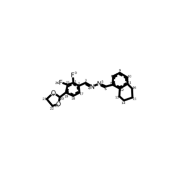 Fc1c(/C=N/N=C/c2cccc3c2CCCC3)ccc(C2OCCO2)c1F